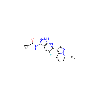 Cc1cccc2c(-c3nc4[nH]nc(NC(=O)C5CC5)c4cc3F)cnn12